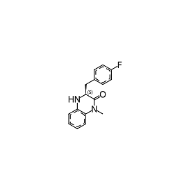 CN1C(=O)[C@H](Cc2ccc(F)cc2)Nc2ccccc21